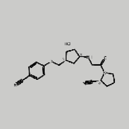 Cl.N#Cc1ccc(OC[C@H]2CC[C@@H](NCC(=O)N3CCC[C@H]3C#N)C2)cc1